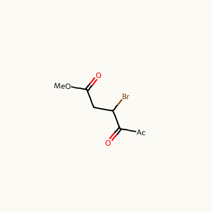 COC(=O)CC(Br)C(=O)C(C)=O